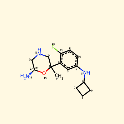 CC1(c2cc(NC3CCC3)ccc2F)CNC[C@H](N)O1